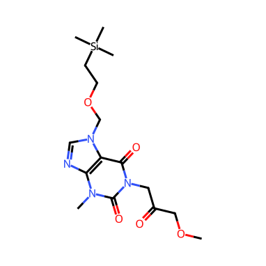 COCC(=O)Cn1c(=O)c2c(ncn2COCC[Si](C)(C)C)n(C)c1=O